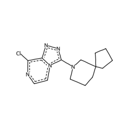 Clc1nccn2c(N3CCCC4(CCCC4)C3)nnc12